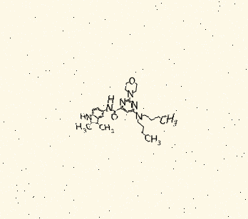 CCCCN(CCCC)c1cc(C(=O)Nc2ccc3c(c2)C(C)C(C)N3)nc(N2CCOCC2)n1